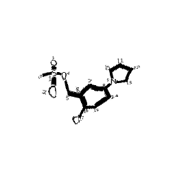 CS(=O)(=O)OCc1cc(N2CCCC2)ccc1Cl